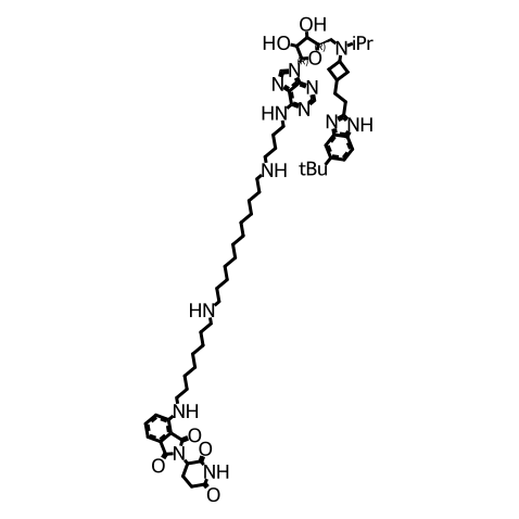 CC(C)N(C[C@H]1O[C@@H](n2cnc3c(NCCCCNCCCCCCCCCCCCNCCCCCCCCNc4cccc5c4C(=O)N(C4CCC(=O)NC4=O)C5=O)ncnc32)C(O)C1O)C1CC(CCc2nc3cc(C(C)(C)C)ccc3[nH]2)C1